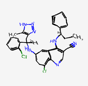 [2H]C(Nc1cc(Cl)c2ncc(C#N)c(N[C@H](CC)c3ccccc3)c2c1)(c1ccccc1Cl)c1nn[nH]c1C